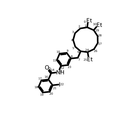 CCC1CCCCC(Cc2cccc(NC(=O)c3ccccc3I)c2)C(CC)CCCC1CC